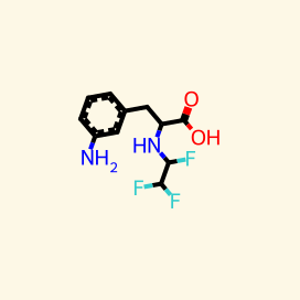 Nc1cccc(CC(NC(F)C(F)F)C(=O)O)c1